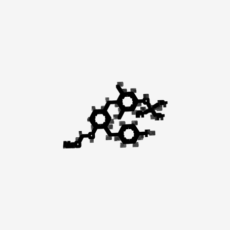 COCOc1ccc(Cc2c(C)cc(O[Si](C(C)C)(C(C)C)C(C)C)cc2C)cc1Cc1ccc(F)cc1